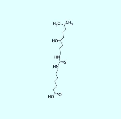 CC(C)CCCC(O)CCCNC(=S)NCCCCCCC(=O)O